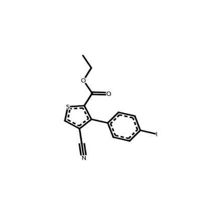 CCOC(=O)c1scc(C#N)c1-c1ccc(I)cc1